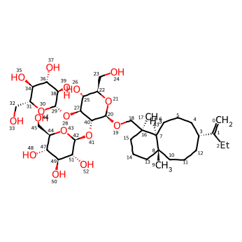 C=C(CC)[C@H]1CCC[C@H]2[C@](C)(CCC1)CCC[C@@]2(C)CO[C@@H]1O[C@H](CO)[C@@H](O)[C@H](O[C@@H]2O[C@H](CO)[C@@H](O)[C@H](O)[C@H]2O)[C@H]1O[C@@H]1O[C@H](CO)[C@@H](O)[C@H](O)[C@H]1O